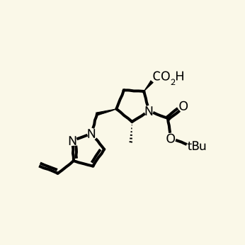 C=Cc1ccn(C[C@H]2C[C@@H](C(=O)O)N(C(=O)OC(C)(C)C)[C@@H]2C)n1